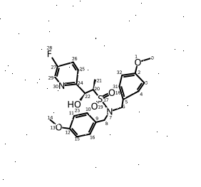 COc1ccc(CN(Cc2ccc(OC)cc2)S(=O)(=O)[C@H](C)[C@@H](O)c2ccc(F)cn2)cc1